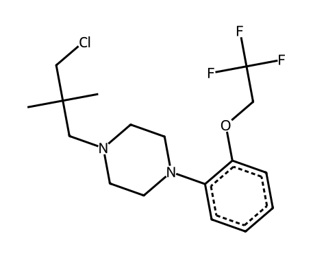 CC(C)(CCl)CN1CCN(c2ccccc2OCC(F)(F)F)CC1